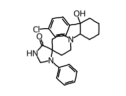 O=C1NCN(c2ccccc2)C12CCN(C1CCCCC1(O)c1ccc(Cl)cc1)CC2